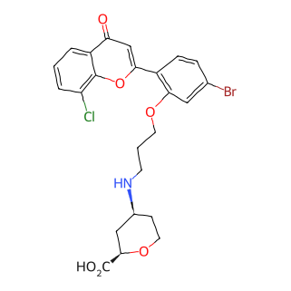 O=C(O)[C@H]1C[C@@H](NCCCOc2cc(Br)ccc2-c2cc(=O)c3cccc(Cl)c3o2)CCO1